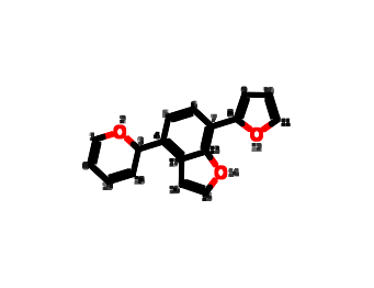 C1=COC(c2ccc(-c3ccco3)c3occc23)C=C1